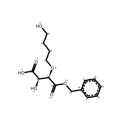 O=C(O)[C@H](O)[C@@H](OCCCCO)C(=O)OCc1ccccc1